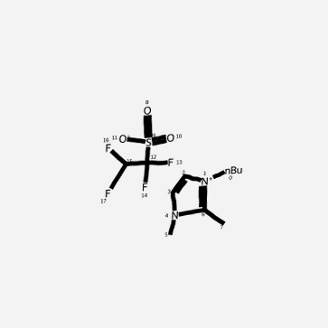 CCCC[n+]1ccn(C)c1C.O=S(=O)([O-])C(F)(F)C(F)F